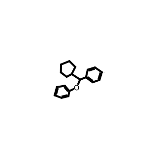 [c]1ccc(C(Oc2ccccc2)C2CCCCC2)cc1